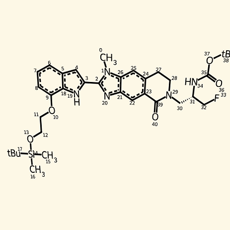 Cn1c(-c2cc3cccc(OCCO[Si](C)(C)C(C)(C)C)c3[nH]2)nc2cc3c(cc21)CCN(C[C@@H](CF)NC(=O)OC(C)(C)C)C3=O